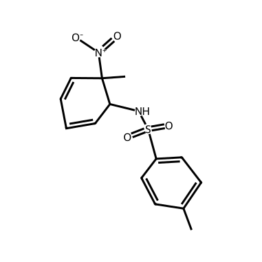 Cc1ccc(S(=O)(=O)NC2C=CC=CC2(C)[N+](=O)[O-])cc1